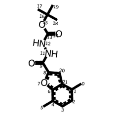 Cc1ccc(C)c2oc(C(=O)NNC(=O)OC(C)(C)C)cc12